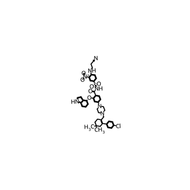 CC1(C)CCC(CN2CCN(c3ccc(C(=O)NS(=O)(=O)c4ccc(NCCC#N)c([N+](=O)[O-])c4)c(Oc4cccc5[nH]ccc45)c3)CC2)=C(c2ccc(Cl)cc2)C1